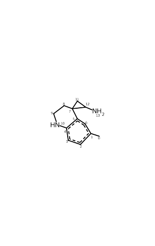 Cc1ccc2c(c1)C1(CCN2)CC1N